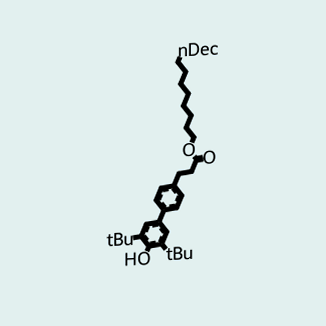 CCCCCCCCCCCCCCCCCCOC(=O)CCc1ccc(-c2cc(C(C)(C)C)c(O)c(C(C)(C)C)c2)cc1